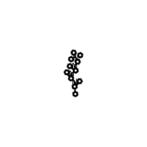 c1ccc(-c2ccc3c(c2)c2ccccc2n3-c2ccc3c4ccccc4n(-c4cccc5c4c4ccccc4n5-c4cccc([Si](c5ccccc5)(c5ccccc5)c5ccccc5)c4)c3c2)cc1